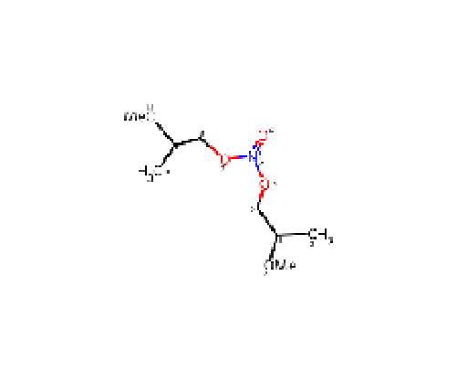 COC(C)CO[N+](=O)OCC(C)OC